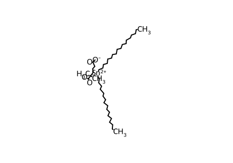 CC(C)(CCCC(=O)[O-])C(=O)[O-].CCCCCCCCCCCCCCCCC[CH2][Sn+2][CH2]CCCCCCCCCCCCCCCCC